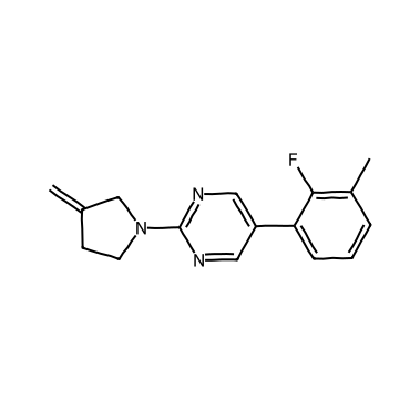 C=C1CCN(c2ncc(-c3cccc(C)c3F)cn2)C1